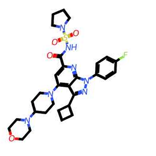 O=C(NS(=O)(=O)N1CCCC1)c1cc(N2CCC(N3CCOCC3)CC2)c2c(C3CCC3)nn(-c3ccc(F)cc3)c2n1